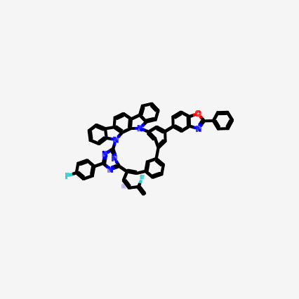 C=C(F)/C=C\c1cc2cccc(c2)c2cc(-c3ccc4oc(-c5ccccc5)nc4c3)cc(c2)n2c3ccccc3c3ccc4c5ccccc5n(c5nc(-c6ccc(F)cc6)nc1n5)c4c32